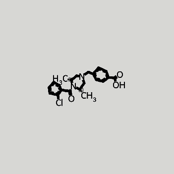 C[C@@H]1CN(Cc2ccc(C(=O)O)cc2)C[C@H](C)N1C(=O)c1ccccc1Cl